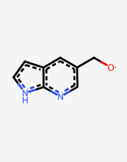 [O]Cc1cnc2[nH]ccc2c1